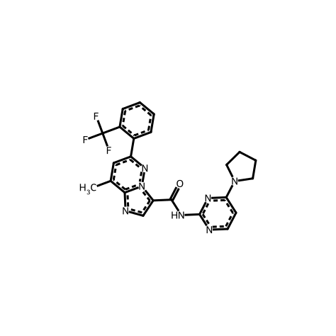 Cc1cc(-c2ccccc2C(F)(F)F)nn2c(C(=O)Nc3nccc(N4CCCC4)n3)cnc12